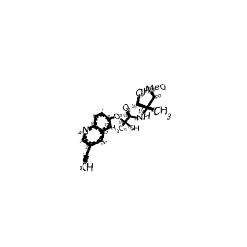 C#Cc1cnc2ccc(OC(C)(S)C(=O)NC(C)(CO)COC)cc2c1